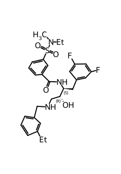 CCc1cccc(CNC[C@@H](O)[C@H](Cc2cc(F)cc(F)c2)NC(=O)c2cccc(S(=O)(=O)N(C)CC)c2)c1